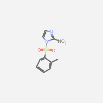 Cc1ccccc1S(=O)(=O)n1ccnc1[N+](=O)[O-]